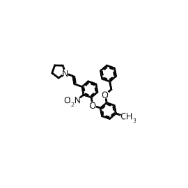 Cc1ccc(Oc2cccc(C=CN3CCCC3)c2[N+](=O)[O-])c(OCc2ccccc2)c1